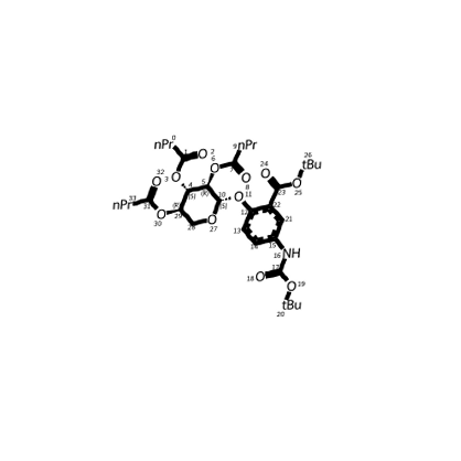 CCCC(=O)O[C@@H]1[C@@H](OC(=O)CCC)[C@H](Oc2ccc(NC(=O)OC(C)(C)C)cc2C(=O)OC(C)(C)C)OC[C@H]1OC(=O)CCC